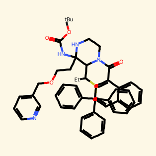 CCC(SC(c1ccccc1)(c1ccccc1)c1ccccc1)C1N(C(=O)c2cccc3ccccc23)CCNC1(CCOCc1cccnc1)NC(=O)OC(C)(C)C